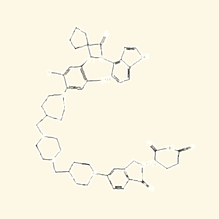 COc1cc(N2CCC(CN3CCN(CC4CCN(c5ccc6c(c5)CN([C@H]5CCC(=O)NC5=O)C6=O)CC4)CC3)CC2)c(F)cc1[C@@H]1N(c2cccc3[nH]ccc23)C(=O)C12CCCC2